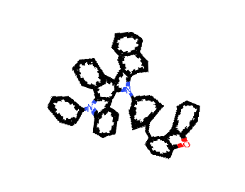 c1ccc(-n2c3ccccc3c3c2c2ccccc2c2c4c5ccccc5ccc4n(-c4ccc(-c5cccc6oc7ccccc7c56)cc4)c23)cc1